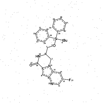 CC(C)(C)[Si](OCC1Cn2c(cc3ncc(F)cc32)C(=O)N1)(c1ccccc1)c1ccccc1